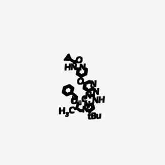 CC(COCc1ccccc1)Cn1nc(Nc2nc3ncc(Oc4ccnc(NC(=O)C5CC5)c4)cc3n2C)cc1C(C)(C)C